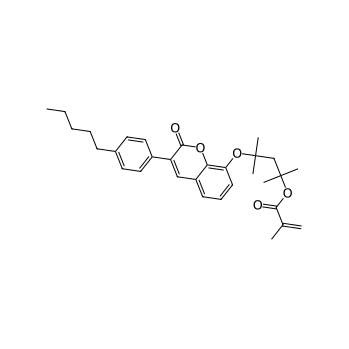 C=C(C)C(=O)OC(C)(C)CC(C)(C)Oc1cccc2cc(-c3ccc(CCCCC)cc3)c(=O)oc12